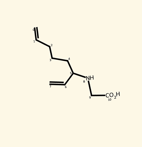 C=CCCCC(C=C)NCC(=O)O